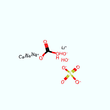 O=C([O-])O.O=S(=O)([O-])[O-].[Ca+2].[Li+].[Na+].[Na+].[OH-].[OH-]